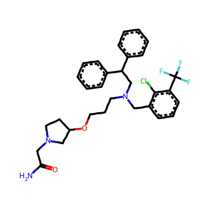 NC(=O)CN1CCC(OCCCN(Cc2cccc(C(F)(F)F)c2Cl)CC(c2ccccc2)c2ccccc2)C1